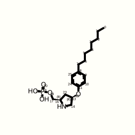 CCCCCCCCc1ccc(O[C@H]2CN[C@@H](COP(=O)(O)O)C2)cc1